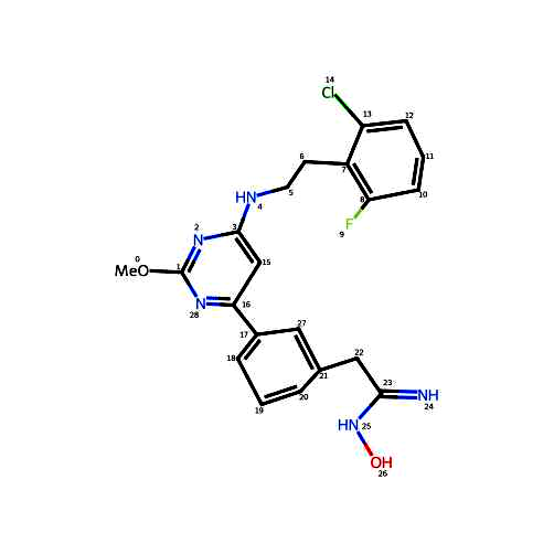 COc1nc(NCCc2c(F)cccc2Cl)cc(-c2cccc(CC(=N)NO)c2)n1